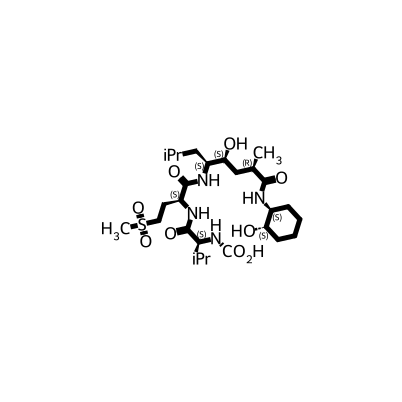 CC(C)C[C@H](NC(=O)[C@H](CCS(C)(=O)=O)NC(=O)[C@@H](NC(=O)O)C(C)C)[C@@H](O)C[C@@H](C)C(=O)N[C@H]1CCCC[C@@H]1O